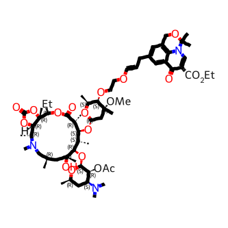 CCOC(=O)c1cn2c3c(cc(CC=COCCO[C@H]4[C@H](C)O[C@@H](O[C@H]5[C@H](C)[C@@H](O[C@@H]6O[C@H](C)C[C@H](N(C)C)[C@H]6OC(C)=O)[C@](C)(O)C[C@@H](C)CN(C)[C@H](C)[C@H]6OC(=O)O[C@]6(C)[C@@H](CC)OC(=O)[C@@H]5C)C[C@@]4(C)OC)cc3c1=O)COC2(C)C